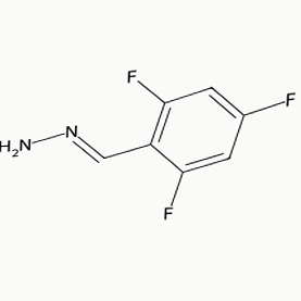 N/N=C/c1c(F)cc(F)cc1F